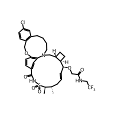 C[C@@H]1[C@@H](C)C/C=C/[C@H](OCC(=O)NCC(F)(F)F)[C@@H]2CC[C@H]2CN2CCCCc3cc(Cl)ccc3COc3ccc(cc32)C(=O)NS1(=O)=O